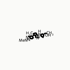 CNc1ncc2cc(-c3c(C)ccc4c(Nc5cccc(CC(C)O)c5)nncc34)ccc2n1